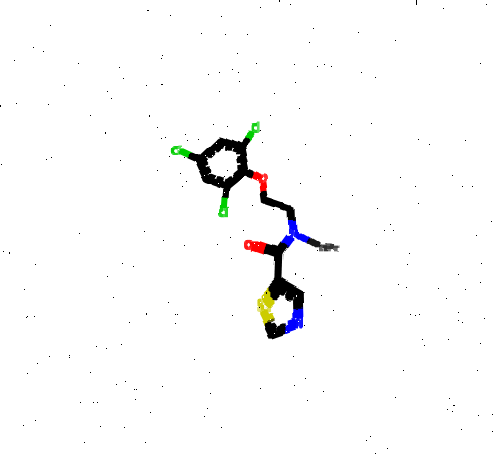 CCCN(CCOc1c(Cl)cc(Cl)cc1Cl)C(=O)c1cncs1